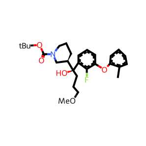 COCCC[C@@](O)(c1cccc(Oc2ccccc2C)c1F)[C@@H]1CCCN(C(=O)OC(C)(C)C)C1